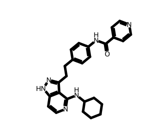 O=C(Nc1ccc(CCc2n[nH]c3ccnc(NC4CCCCC4)c23)cc1)c1ccncc1